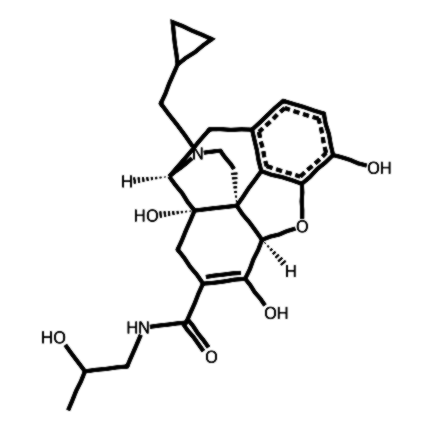 CC(O)CNC(=O)C1=C(O)[C@@H]2Oc3c(O)ccc4c3[C@@]23CCN(CC2CC2)[C@H](C4)[C@]3(O)C1